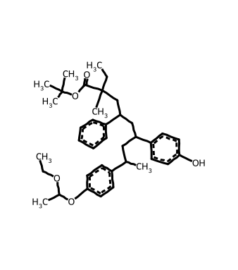 CCOC(C)Oc1ccc(C(C)CC(CC(CC(C)(CC)C(=O)OC(C)(C)C)c2ccccc2)c2ccc(O)cc2)cc1